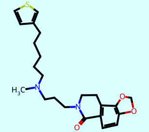 CN(CCCCCc1ccsc1)CCCN1CCc2c(ccc3c2OCO3)C1=O